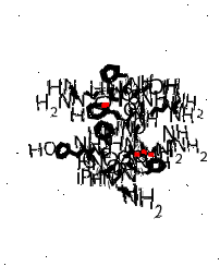 CC(C)[C@H](NC(=O)[C@H](Cc1ccccc1)NC(=O)[C@H](N)Cc1ccc(O)cc1)C(=O)N[C@@H](CCN)C(=O)N[C@@H](Cc1ccccc1)C(=O)N[C@@H](CCCNC(=N)N)C(=O)N[C@@H](CC(N)=O)C(=O)N[C@@H](CCc1ccccc1)C(=O)N[C@@H](CCCNC(=N)N)C(=O)N[C@H](C(=O)N[C@@H](Cc1ccccc1)C(=O)N[C@@H](CCCNC(=N)N)C(=O)I)[C@@H](C)O